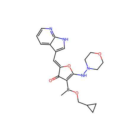 CB(OCC1CC1)C1=C(NN2CCOCC2)O/C(=C\c2c[nH]c3ncccc23)C1=O